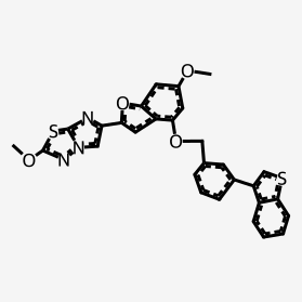 COc1cc(OCc2cccc(-c3csc4ccccc34)c2)c2cc(-c3cn4nc(OC)sc4n3)oc2c1